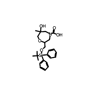 CC1(O)COC(CO[Si](c2ccccc2)(c2ccccc2)C(C)(C)C)CN(C(=O)O)C1